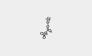 O=C(c1ccc(-c2ccc(-n3cc(-c4cnc5c(c4)c4ccccc4n5-c4ccccc4)c4cnccc43)cc2)cc1)C(F)(F)F